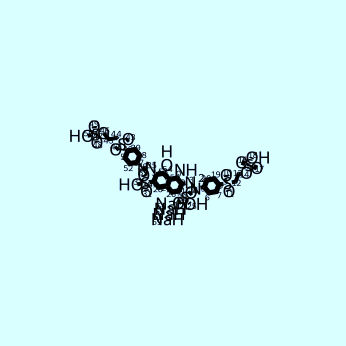 Nc1c(/N=N/c2ccc(S(=O)(=O)CCOS(=O)(=O)O)cc2)c(S(=O)(=O)O)cc2cc(S(=O)(=O)O)c(/N=N/c3ccc(S(=O)(=O)CCOS(=O)(=O)O)cc3)c(O)c12.[NaH].[NaH].[NaH].[NaH]